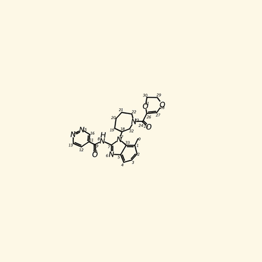 Cc1cccc2nc(NC(=O)c3ccnnc3)n(C3CCCCN(C(=O)C4=COCCO4)C3)c12